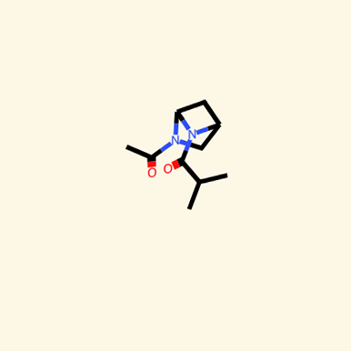 CC(=O)N1CC2CC1N2C(=O)C(C)C